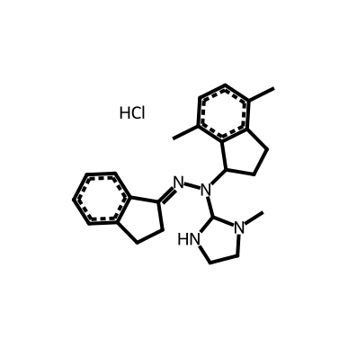 Cc1ccc(C)c2c1CCC2N(N=C1CCc2ccccc21)C1NCCN1C.Cl